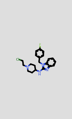 Fc1ccc(Cn2c(NC3CCN(CCCl)CC3)nc3ccccc32)cc1